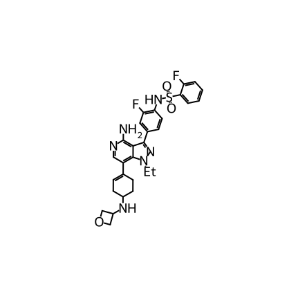 CCn1nc(-c2ccc(NS(=O)(=O)c3ccccc3F)c(F)c2)c2c(N)ncc(C3=CCC(NC4COC4)CC3)c21